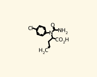 C=CCC(C(=O)O)N(C(N)=O)c1ccc(Cl)cc1